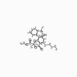 C=C(C)c1ccc(C)cc1-c1c(O)cc(CCCCC)c2c1OC(C)(C(=O)OCC)OC2=O